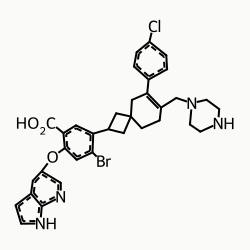 O=C(O)c1cc(C2CC3(CCC(CN4CCNCC4)=C(c4ccc(Cl)cc4)C3)C2)c(Br)cc1Oc1cnc2[nH]ccc2c1